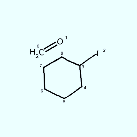 C=O.IC1CCCCC1